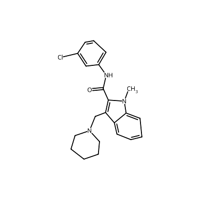 Cn1c(C(=O)Nc2cccc(Cl)c2)c(CN2CCCCC2)c2ccccc21